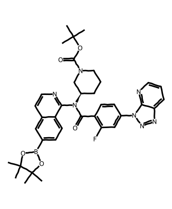 CC(C)(C)OC(=O)N1CCC[C@@H](N(C(=O)c2ccc(-n3nnc4cccnc43)cc2F)c2nccc3cc(B4OC(C)(C)C(C)(C)O4)ccc23)C1